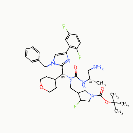 C[C@@H](CN)NC(=O)N(CC1CN(C(=O)OC(C)(C)C)CC1F)[C@@H](c1nc(-c2cc(F)ccc2F)cn1Cc1ccccc1)C1CCOCC1